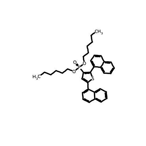 CCCCCCOP(=O)(OCCCCCC)c1cc(-c2cccc3ccccc23)sc1-c1cccc2ccccc12